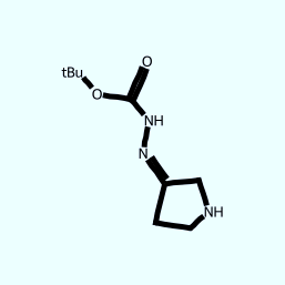 CC(C)(C)OC(=O)NN=C1CCNC1